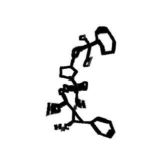 C[C@@H]1[C@H](c2ccccc2)[C@]1(NS(=O)(=O)N1CCC(OC(Cl)(Cl)c2ccccc2)C1)C(=O)O